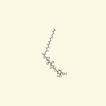 CCCCCCCCCCCCCCCCC(C)OCCNC(=O)C(=O)NCCCOc1ccc(O)c(O)c1